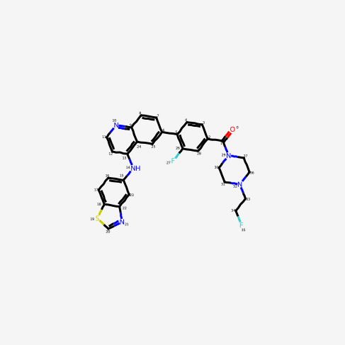 O=C(c1ccc(-c2ccc3nccc(Nc4ccc5scnc5c4)c3c2)c(F)c1)N1CCN(CCF)CC1